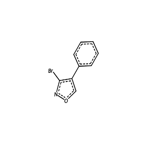 Brc1nocc1-c1ccccc1